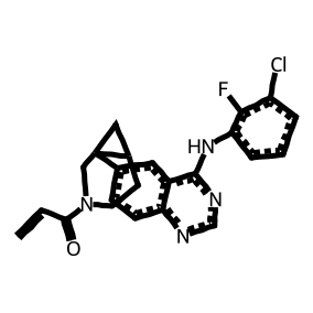 C=CC(=O)N1CCC2CC2(c2ccc3ncnc(Nc4cccc(Cl)c4F)c3c2)C1